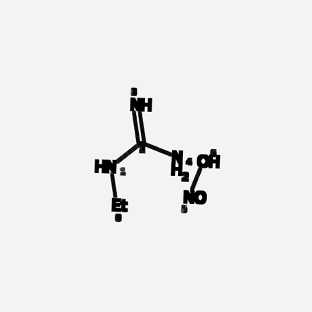 CCNC(=N)N.O=NO